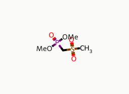 COP(=O)(CS(C)(=O)=O)OC